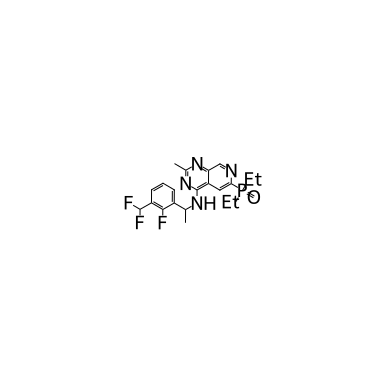 CCP(=O)(CC)c1cc2c(NC(C)c3cccc(C(F)F)c3F)nc(C)nc2cn1